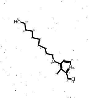 Cc1c(OCCCCCCCCCO)ccnc1CCl